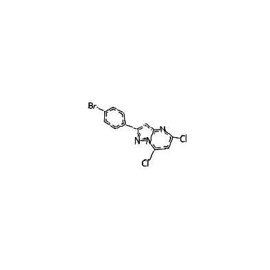 Clc1cc(Cl)n2nc(-c3ccc(Br)cc3)cc2n1